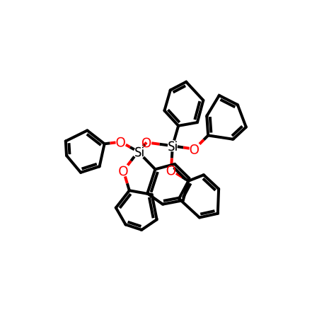 c1ccc(O[Si](Oc2ccccc2)(O[Si](Oc2ccccc2)(Oc2ccccc2)c2ccccc2)c2ccccc2)cc1